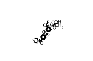 C[C@@](O)(C(=O)Nc1ccc(S(=O)(=O)c2ccc(C(=O)N3CCSCC3)cc2)cc1Cl)C(F)(F)F